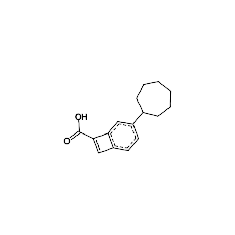 O=C(O)C1=Cc2ccc(C3CCCCCC3)cc21